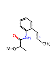 COC(C)C(=O)Nc1ccccc1/C=C/[C]=O